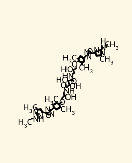 CCNc1nc(C)cc(-c2nc(-c3cc(C)c(OCC(O)CNC(=O)C(O)C(O)C(=O)NCC(O)COc4c(C)cc(-c5noc(-c6cc(C)nc(NCC)n6)n5)cc4C)c(C)c3)no2)n1